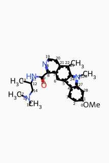 COc1ccc2c3cc4c(C(=O)NC(C)CN(C)C)nccc4c(C)c3n(C)c2c1